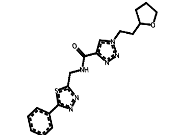 O=C(NCc1nnc(-c2ccccc2)s1)c1cn(CCC2CCCO2)nn1